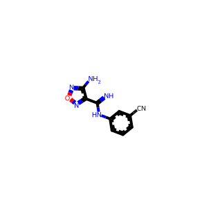 N#Cc1cccc(NC(=N)c2nonc2N)c1